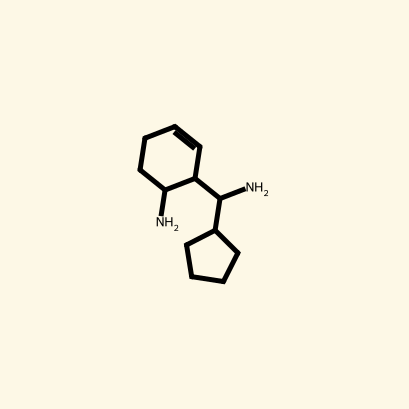 NC1CCC=CC1C(N)C1CCCC1